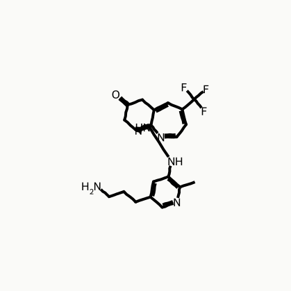 Cc1ncc(CCCN)cc1NC1=NC=C2CC(=O)CC3=CC(C(F)(F)F)=CC=NC23N1